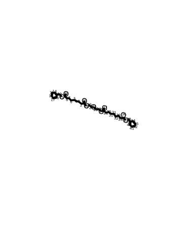 O=C(CCCCCCCC(=O)OCc1ccccc1)OCCOCCOC(=O)CCCCCCCC(=O)OCc1ccccc1